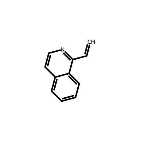 [CH]=Cc1nccc2ccccc12